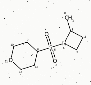 CC1CCN1S(=O)(=O)C1CCOCC1